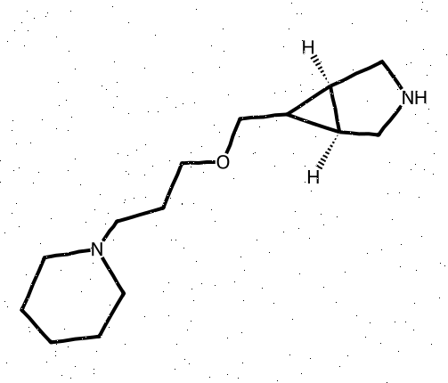 C1CCN(CCCOCC2[C@H]3CNC[C@@H]23)CC1